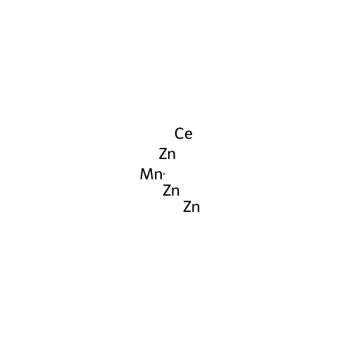 [Ce].[Mn].[Zn].[Zn].[Zn]